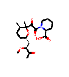 CO[C@@H](C[C@@H]1CC[C@@H](C)[C@](C)(C(=O)C(=O)N2CCCC[C@H]2C(=O)O)O1)C(C)=O